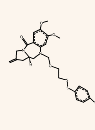 C=C1C[C@H]2CN(COCCSSc3ccc([N+](=O)[O-])cc3)c3cc(OC)c(OC)cc3C(=O)N2C1